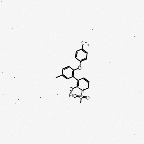 [CH]c1ccc(Oc2ccc(C(F)(F)F)cc2)c(C2=C(OCC)N(S(C)(=O)=O)CC=C2)c1